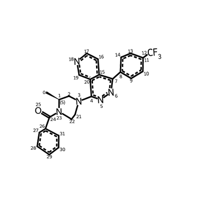 C[C@H]1CN(c2nnc(-c3ccc(C(F)(F)F)cc3)c3ccncc23)CCN1C(=O)c1ccccc1